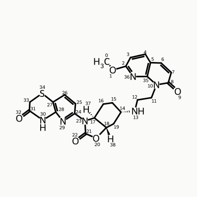 COc1ccc2ccc(=O)n(CCN[C@H]3CC[C@H]4[C@H](C3)OC(=O)N4c3ccc4c(n3)NC(=O)CS4)c2n1